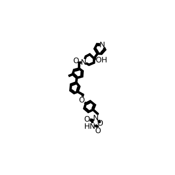 Cc1cc(C(=O)N2CCC(O)(c3ccncc3)CC2)ccc1-c1cccc(COc2ccc(Cn3oc(=O)[nH]c3=O)cc2)c1